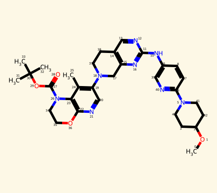 COC1CCN(c2ccc(Nc3ncc4c(n3)CN(c3cnc5c(c3C)N(C(=O)OC(C)(C)C)CCO5)CC4)cn2)CC1